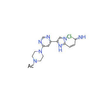 CC(=O)N1CCN(c2cc(-c3cnc(/C=C\C(=N)Cl)[nH]3)ncn2)CC1